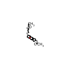 CCC(=O)OCCCSC1CC2CC1C1C3CC(C4CC(SC(C)=O)CC43)C21